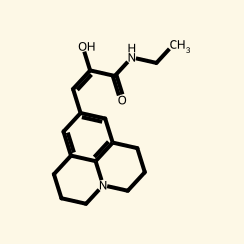 CCNC(=O)/C(O)=C\c1cc2c3c(c1)CCCN3CCC2